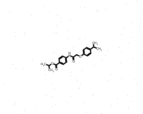 CC(C)OC(=O)c1ccc(NC(=O)COc2ccc(C(C)C)cc2)cc1